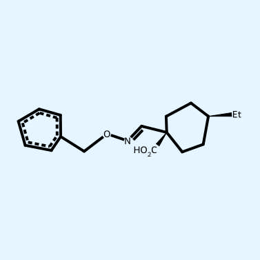 CC[C@H]1CC[C@@](/C=N/OCc2ccccc2)(C(=O)O)CC1